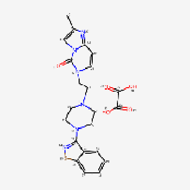 Cc1cn2c(=O)n(CCN3CCN(c4nsc5ccccc45)CC3)ccc2n1.O=C(O)C(=O)O